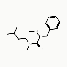 CN[C@@H](Cc1ccccc1)C(=O)N(C)CCC(C)C